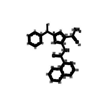 CC(c1ccccc1)c1cc(C(N)=O)c(NC(=O)c2nccc3ccccc23)s1